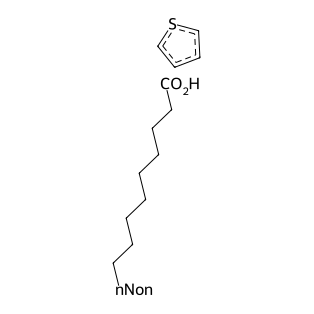 CCCCCCCCCCCCCCCCCC(=O)O.c1ccsc1